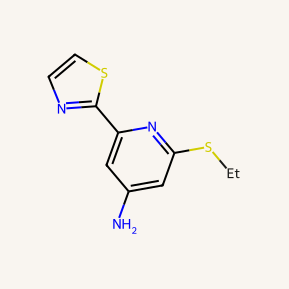 CCSc1cc(N)cc(-c2nccs2)n1